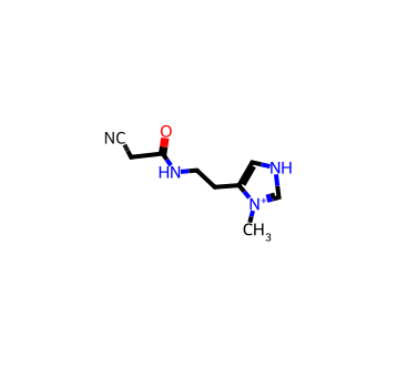 C[n+]1c[nH]cc1CCNC(=O)CC#N